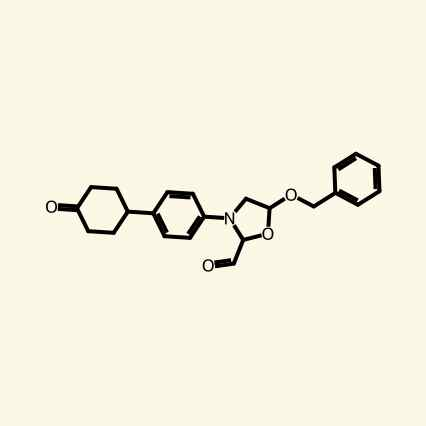 O=CC1OC(OCc2ccccc2)CN1c1ccc(C2CCC(=O)CC2)cc1